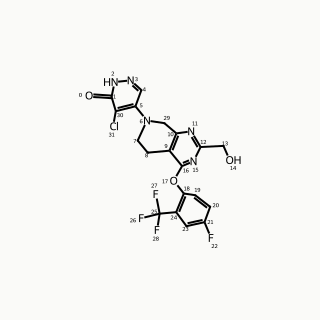 O=c1[nH]ncc(N2CCc3c(nc(CO)nc3Oc3ccc(F)cc3C(F)(F)F)C2)c1Cl